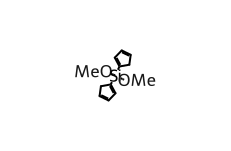 CO[Si](OC)(C1=CC=CC1)C1=CC=CC1